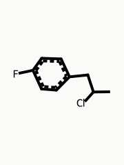 CC(Cl)Cc1ccc(F)cc1